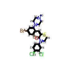 CN1CCN(c2cc(Br)cc(Br)c2/C=C2/SCCN(c3ccc(Cl)c(Cl)c3)C2=O)CC1